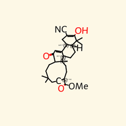 COC(=O)[C@@]1(C)CCC(C)(C)CCC2C(=O)C=C3[C@@]4(C)CC(C#N)=C(O)C(C)(C)[C@@H]4CC[C@@]3(C)[C@]2(C)CC1